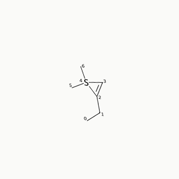 CCC1=CS1(C)C